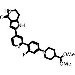 COC(OC)C1CCN(c2ccc(-c3cc(-c4cc5c([nH]4)CCNC5=O)ccn3)c(F)c2)CC1